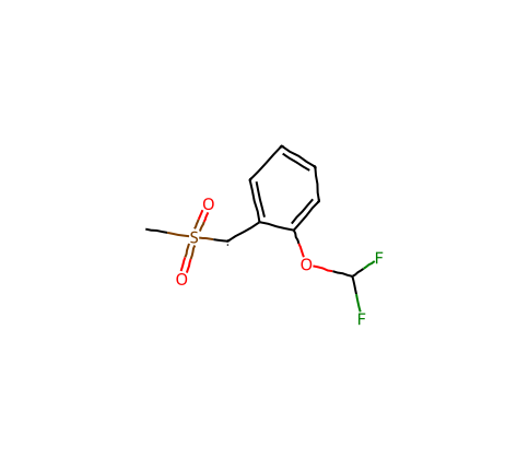 CS(=O)(=O)[CH]c1ccccc1OC(F)F